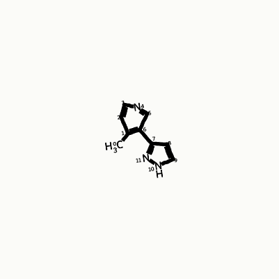 Cc1ccncc1-c1cc[nH]n1